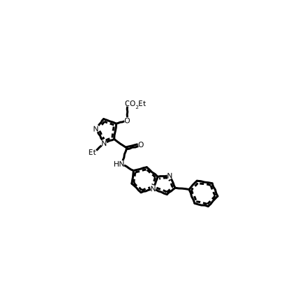 CCOC(=O)Oc1cnn(CC)c1C(=O)Nc1ccn2cc(-c3ccccc3)nc2c1